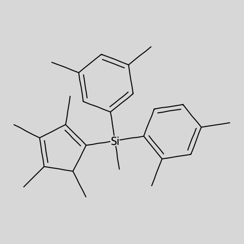 CC1=C(C)C(C)C([Si](C)(c2cc(C)cc(C)c2)c2ccc(C)cc2C)=C1C